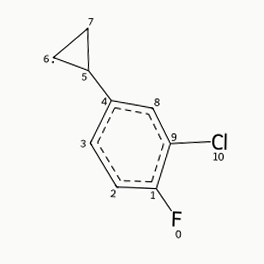 Fc1ccc(C2[CH]C2)cc1Cl